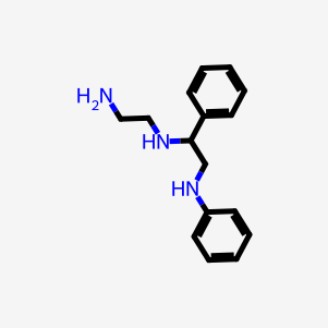 NCCNC(CNc1ccccc1)c1ccccc1